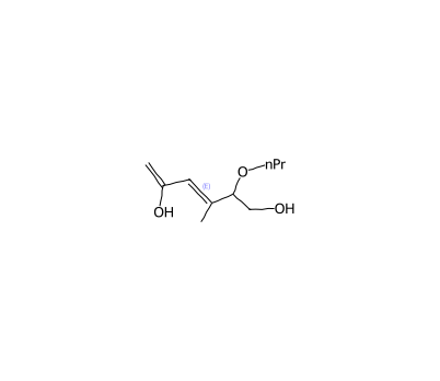 C=C(O)/C=C(\C)C(CO)OCCC